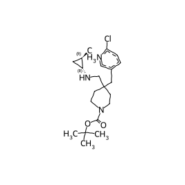 C[C@@H]1C[C@H]1NCC1(Cc2ccc(Cl)nc2)CCN(C(=O)OC(C)(C)C)CC1